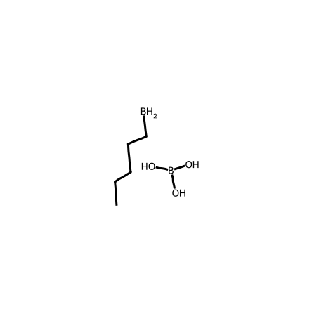 BCCCCC.OB(O)O